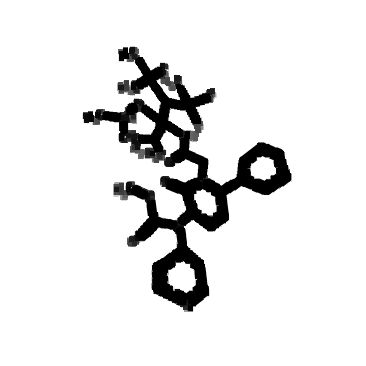 COC(=O)N(c1ccncc1)c1ccc(-c2ccccc2)n(CC(=O)NC(O[SiH](C)C)(C(C)C)C(C(C)(C)C)C(F)(F)F)c1=O